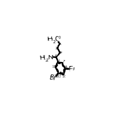 C=CCCC(N)c1cc(F)cc(Br)c1